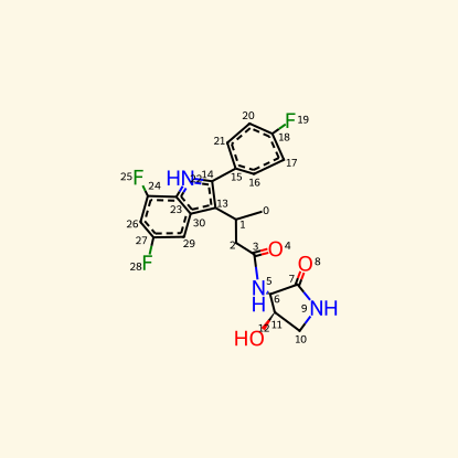 CC(CC(=O)N[C@@H]1C(=O)NC[C@H]1O)c1c(-c2ccc(F)cc2)[nH]c2c(F)cc(F)cc12